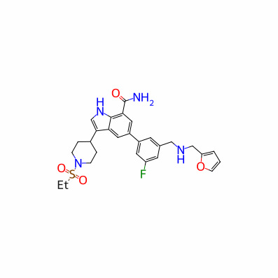 CCS(=O)(=O)N1CCC(c2c[nH]c3c(C(N)=O)cc(-c4cc(F)cc(CNCc5ccco5)c4)cc23)CC1